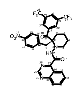 O=C(NN1CCCC[C@@]1(Cc1ccc([N+](=O)[O-])cc1)C(=O)c1cc(C(F)(F)F)cc(C(F)(F)F)c1)c1ncnc2ccccc12